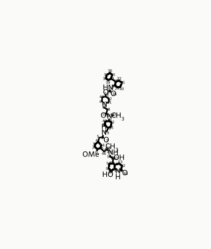 COc1ccc(CC(=O)NCc2ccc(N(C)C(=O)CCN3CCC(OC(=O)Nc4ccccc4-c4ccccc4)CC3)cc2)cc1CC(C)NC[C@H](O)c1ccc(O)c2[nH]c(=O)ccc12